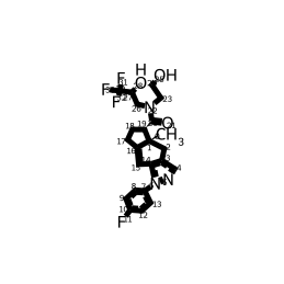 C[C@]12Cc3cnn(-c4ccc(F)cc4)c3C=C1CC[C@@H]2C(=O)N(CCO)CC(O)C(F)(F)F